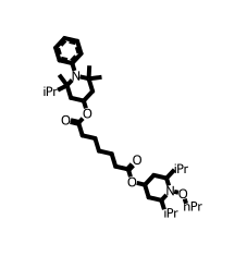 CCCON1C(C(C)C)CC(OC(=O)CCCCCC(=O)OC2CC(C)(C)N(c3ccccc3)C(C)(C(C)C)C2)CC1C(C)C